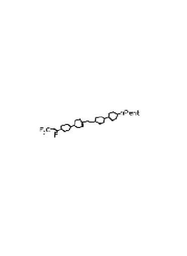 CCCCCC1CCC(C2CCC(CCC3CCC(C4CCC(/C(F)=C/C(F)(F)F)CC4)CC3)CC2)CC1